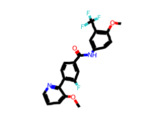 COc1ccc(NC(=O)c2ccc(-c3ncccc3OC)c(F)c2)cc1C(F)(F)F